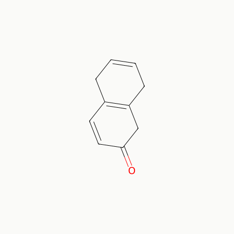 O=C1C=CC2=C(CC=CC2)C1